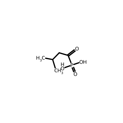 CC(C)CC(=O)P(=O)(O)O